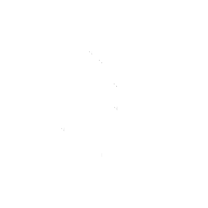 CCn1nccc1-c1cc(-c2cc(F)cc3[nH]ccc23)nc([S+](C)[O-])n1